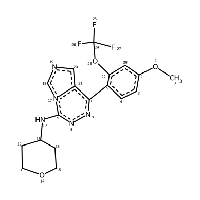 COc1ccc(-c2nnc(NC3CCOCC3)n3cncc23)c(OC(F)(F)F)c1